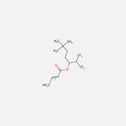 C[Si](C)(C)CCC(OC(=O)/C=C/C(=O)O)C(C(F)(F)F)C(F)(F)F